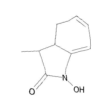 CC1C(=O)N(O)C2=CC=CCC21